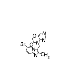 Cc1nc2ccc(Br)cn2c1CN1C(=O)COc2cncnc21